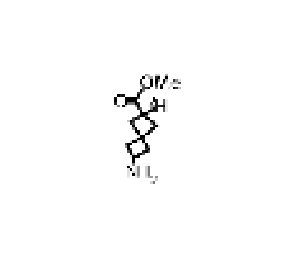 [2H]C1(C(=O)OC)CC2(CC(N)C2)C1